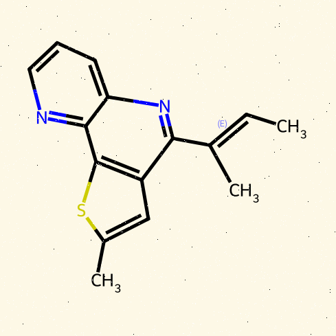 C/C=C(\C)c1nc2cccnc2c2sc(C)cc12